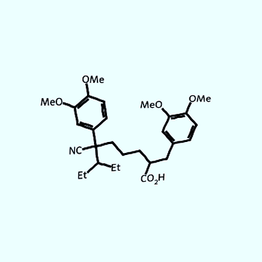 CCC(CC)C(C#N)(CCCC(Cc1ccc(OC)c(OC)c1)C(=O)O)c1ccc(OC)c(OC)c1